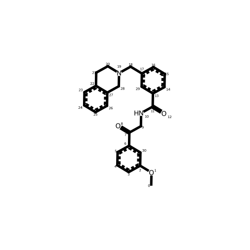 COc1cccc(C(=O)CNC(=O)c2cccc(CN3CCc4ccccc4C3)c2)c1